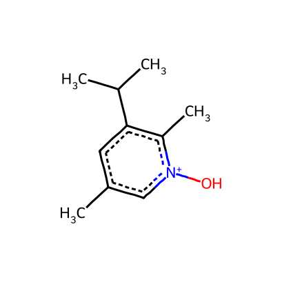 Cc1cc(C(C)C)c(C)[n+](O)c1